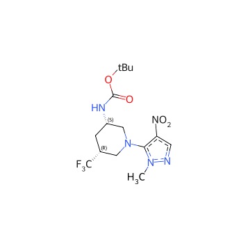 Cn1ncc([N+](=O)[O-])c1N1C[C@@H](NC(=O)OC(C)(C)C)C[C@@H](C(F)(F)F)C1